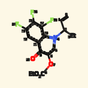 C=CC(CC)n1cc(OC(=O)OCC)c(=O)c2cc(F)c(F)c(F)c21